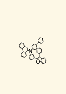 c1ccc(-c2ccc(N(c3cccc(-c4oc5ccccc5c4-c4ccccc4)c3)c3cc4ccccc4c4ccccc34)cc2)cc1